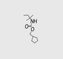 CCC(C)(C)NC(=O)OCC1CCCC1